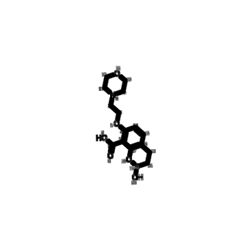 O=C(O)c1c(OCCN2CCOCC2)ccc2c1OB(O)CC2